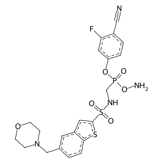 N#Cc1ccc(OP(=O)(CNS(=O)(=O)c2cc3cc(CN4CCOCC4)ccc3s2)ON)cc1F